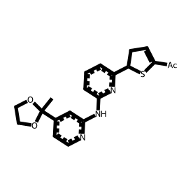 CC(=O)C1=CCC(c2cccc(Nc3cc(C4(C)OCCO4)ccn3)n2)S1